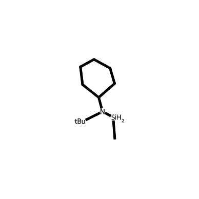 C[SiH2]N(C1CCCCC1)C(C)(C)C